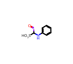 O=IC(Nc1ccccc1)S(=O)(=O)O